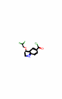 O=C(Cl)c1ccc2nccc(OCC(F)F)c2c1